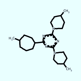 CC1CCCC(c2nc(N3CCC(C)CC3)nc(N3CCC(C)CC3)n2)CC1